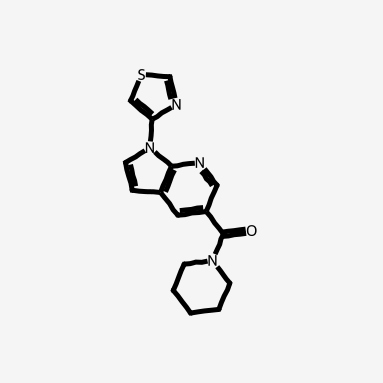 O=C(c1cnc2c(ccn2-c2cscn2)c1)N1CCCCC1